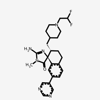 CN1C(=O)[C@@]2(N=C1N)c1cc(-c3cncnc3)ccc1CC[C@H]2CC1CCN(CC(F)F)CC1